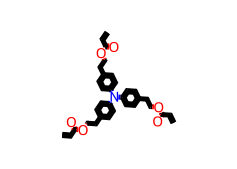 C=CC(=O)OCCc1ccc(N(c2ccc(CCOC(=O)C=C)cc2)c2ccc(CCOC(=O)C=C)cc2)cc1